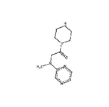 CN(CC(=O)N1CCNCC1)c1cnccn1